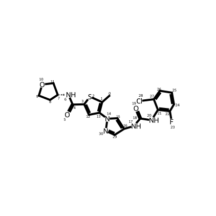 Cc1sc(C(=O)N[C@@H]2CCOC2)cc1-n1cc(NC(=O)Nc2c(F)cccc2Cl)cn1